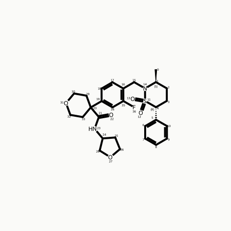 C[C@H]1CC[C@H](c2ccccc2)S(=O)(=O)N1Cc1ccc(C2(C(=O)NC3CCOC3)CCOCC2)cc1F